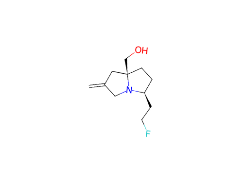 C=C1CN2[C@H](CCF)CC[C@@]2(CO)C1